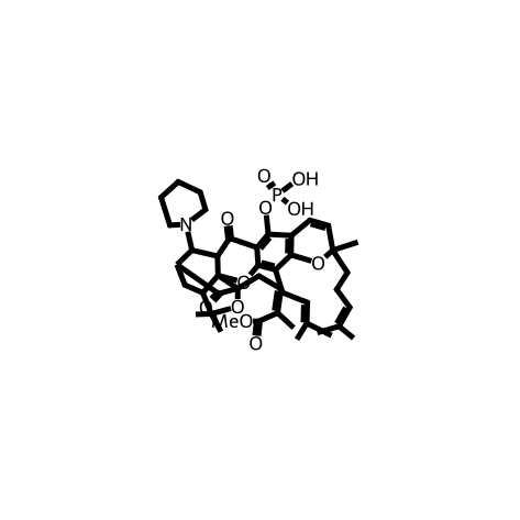 COC(=O)/C(C)=C\CC12OC(C)(C)C3CC(C1=O)C(N1CCCCC1)C1C(=O)c4c(OP(=O)(O)O)c5c(c(CC=C(C)C)c4OC132)OC(C)(CCC=C(C)C)C=C5